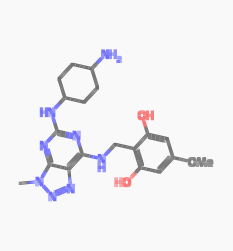 COc1cc(O)c(CNc2nc(NC3CCC(N)CC3)nc3c2nnn3C)c(O)c1